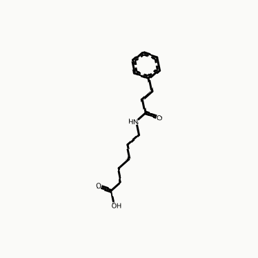 O=C(O)CCCCCNC(=O)CCc1ccccc1